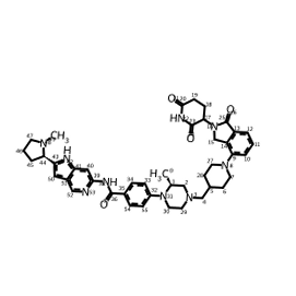 C[C@H]1CN(CC2CCN(c3cccc4c3CN(C3CCC(=O)NC3=O)C4=O)CC2)CCN1c1ccc(C(=O)Nc2cc3[nH]c([C@H]4CCCN4C)cc3cn2)cc1